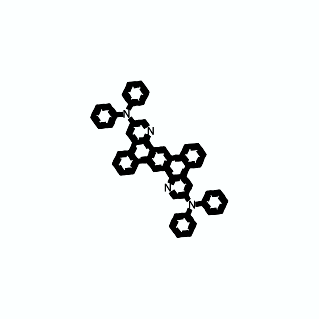 c1ccc(N(c2ccccc2)c2cnc3c(c2)c2ccccc2c2cc4c(cc23)c2ccccc2c2cc(N(c3ccccc3)c3ccccc3)cnc24)cc1